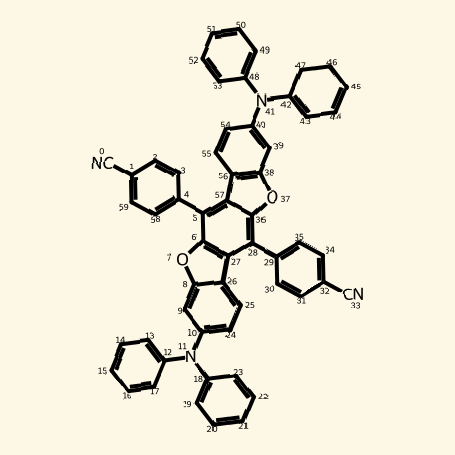 N#Cc1ccc(-c2c3oc4cc(N(c5ccccc5)c5ccccc5)ccc4c3c(-c3ccc(C#N)cc3)c3oc4cc(N(C5=CC=CCC5)c5ccccc5)ccc4c23)cc1